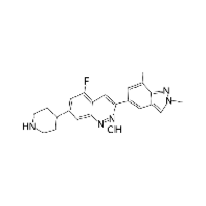 Cc1cc(-c2cc3c(F)cc(C4CCNCC4)cc3nn2)cc2cn(C)nc12.Cl